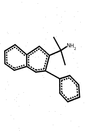 CC(C)(N)c1cc2ccccc2cc1-c1ccccc1